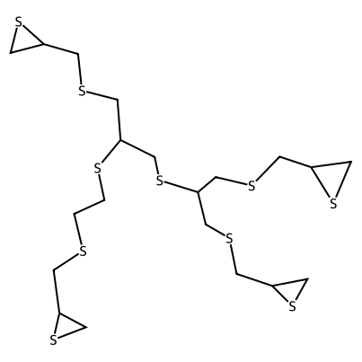 C(CSC(CSCC1CS1)CSC(CSCC1CS1)CSCC1CS1)SCC1CS1